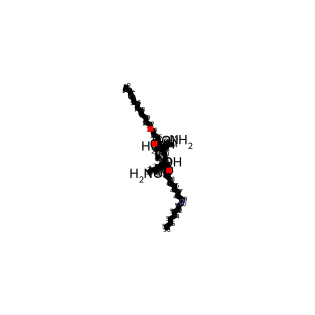 CCCCCCCCC=CCCCCCCCC(=O)NC(CC(O)CN)(C(C)O)N1CCN(C(CC(O)CN)(NC(=O)CCCCCCC/C=C\CCCCCCCC)C(C)O)CC1